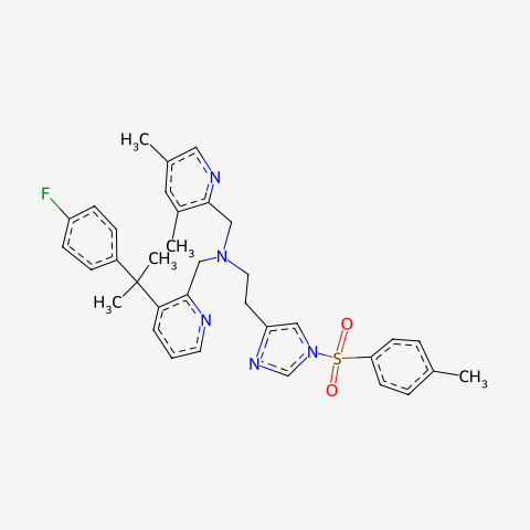 Cc1ccc(S(=O)(=O)n2cnc(CCN(Cc3ncc(C)cc3C)Cc3ncccc3C(C)(C)c3ccc(F)cc3)c2)cc1